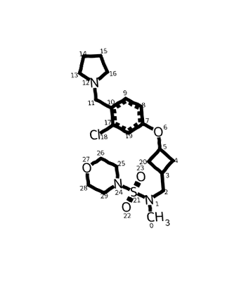 CN(CC1CC(Oc2ccc(CN3CCCC3)c(Cl)c2)C1)S(=O)(=O)N1CCOCC1